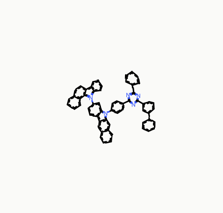 c1ccc(-c2cccc(-c3nc(-c4ccccc4)nc(-c4ccc(-n5c6cc(-n7c8ccccc8c8ccc9ccccc9c87)ccc6c6cc7ccccc7cc65)cc4)n3)c2)cc1